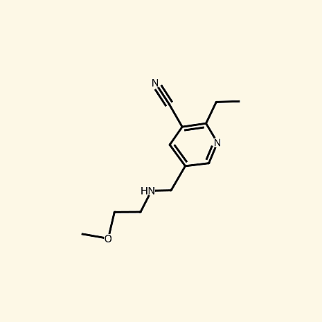 CCc1ncc(CNCCOC)cc1C#N